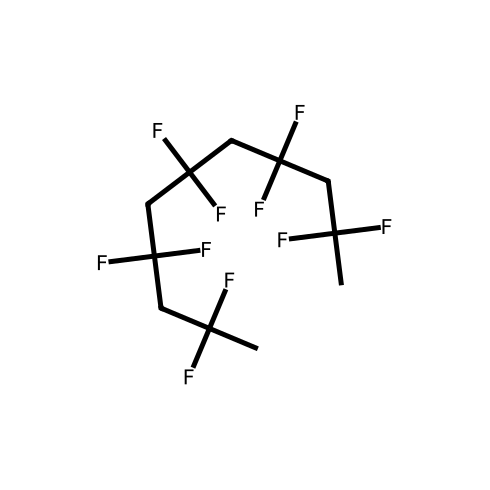 CC(F)(F)CC(F)(F)CC(F)(F)CC(F)(F)CC(C)(F)F